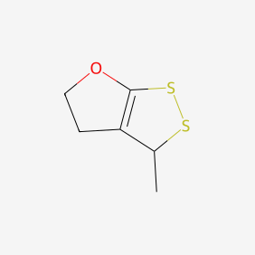 CC1SSC2=C1CCO2